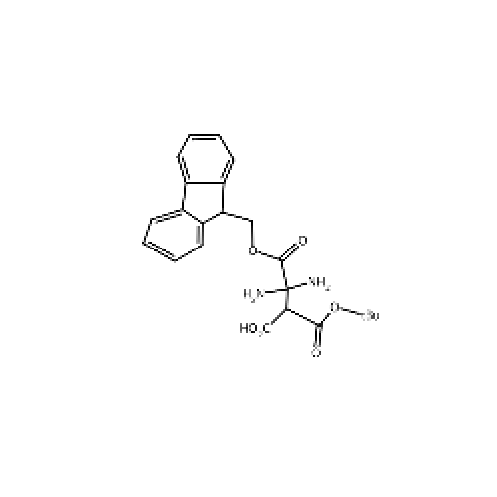 CC(C)(C)OC(=O)C(C(=O)O)C(N)(N)C(=O)OCC1c2ccccc2-c2ccccc21